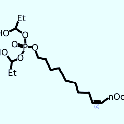 CCCCCCCC/C=C\CCCCCCCCOP(=O)(OC(O)CC)OC(O)CC